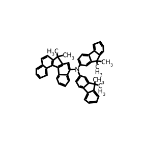 CC1(C)c2ccccc2-c2ccc(N(c3ccc4c(c3)C(C)(C)c3ccccc3-4)c3cc4c(c5ccccc35)-c3c(ccc5ccccc35)C4(C)C)cc21